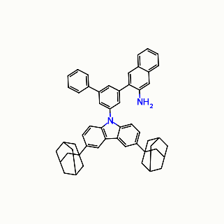 Nc1cc2ccccc2cc1-c1cc(-c2ccccc2)cc(-n2c3ccc(C45CC6CC(CC(C6)C4)C5)cc3c3cc(C45CC6CC(CC(C6)C4)C5)ccc32)c1